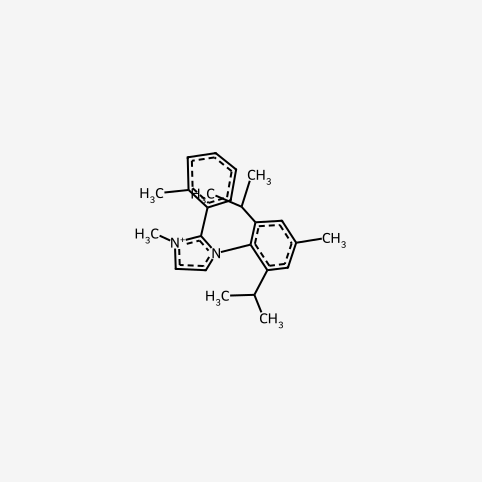 Cc1cc(C(C)C)c(-n2cc[n+](C)c2-c2ccccc2C)c(C(C)C)c1